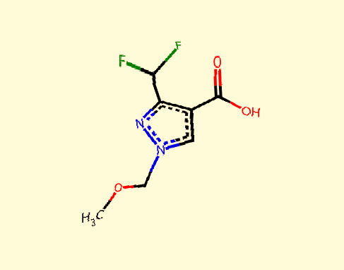 COCn1cc(C(=O)O)c(C(F)F)n1